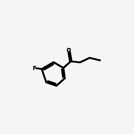 CCCC(=O)c1cccc(F)c1